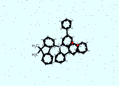 CC1(C)c2ccccc2-c2c(N(c3cc(-c4ccccc4)cc(-c4ccccc4)c3)c3ccccc3-c3ccccc3)cccc21